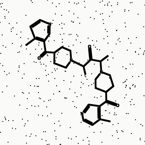 Cc1ccncc1C(=O)C1CCN(C(C)C(=O)C(C)N2CCC(C(=O)c3cnccc3C)CC2)CC1